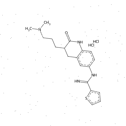 CN(C)CCCC1Cc2cc(NC(=N)c3cccs3)ccc2NC1=O.Cl.Cl